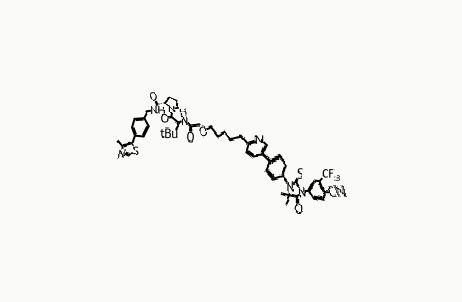 Cc1ncsc1-c1ccc(CNC(=O)[C@@H]2CCCN2C(=O)C(NC(=O)COCCCCCc2ccc(-c3ccc(N4C(=S)N(c5ccc(C#N)c(C(F)(F)F)c5)C(=O)C4(C)C)cc3)cn2)C(C)(C)C)cc1